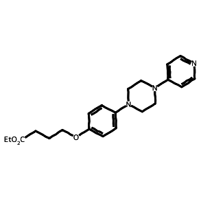 CCOC(=O)CCCOc1ccc(N2CCN(c3ccncc3)CC2)cc1